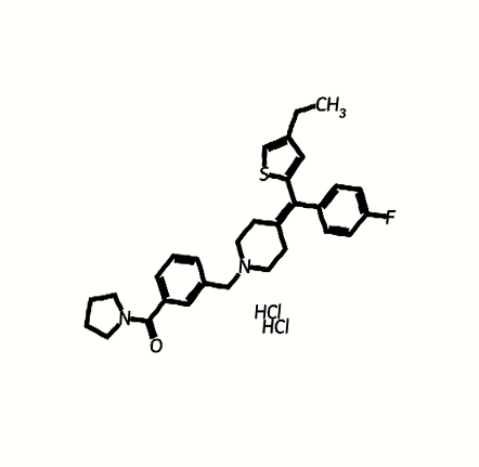 CCc1csc(C(=C2CCN(Cc3cccc(C(=O)N4CCCC4)c3)CC2)c2ccc(F)cc2)c1.Cl.Cl